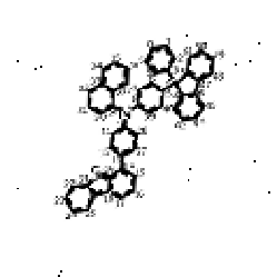 c1ccc(C2(c3ccc(N(c4ccc(-c5cccc6c5sc5ccccc56)cc4)c4cccc5ccccc45)cc3)c3ccccc3-c3ccccc32)cc1